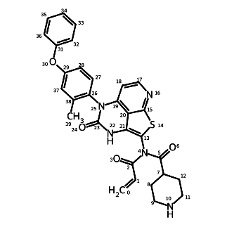 C=CC(=O)N(C(=O)C1CCNCC1)c1sc2nccc3c2c1NC(=O)N3c1ccc(Oc2ccccc2)cc1C